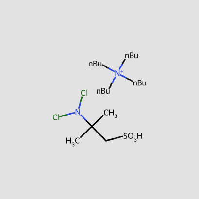 CC(C)(CS(=O)(=O)O)N(Cl)Cl.CCCC[N+](CCCC)(CCCC)CCCC